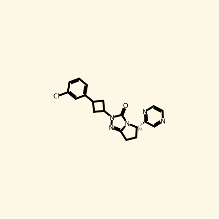 O=c1n(C2CC(c3cccc(Cl)c3)C2)nc2n1[C@H](c1cnccn1)CC2